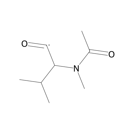 CC(=O)N(C)C([C]=O)C(C)C